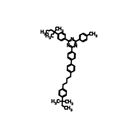 CCC(C)(C)c1ccc(CCCCc2ccc(-c3ccc(-c4nc(-c5ccc(C)cc5)nc(-c5ccc(C(C)(C)CC)cc5)n4)cc3)cc2)cc1